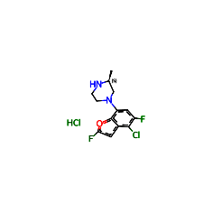 C[C@H]1CN(c2cc(F)c(Cl)c3cc(F)oc23)CCN1.Cl